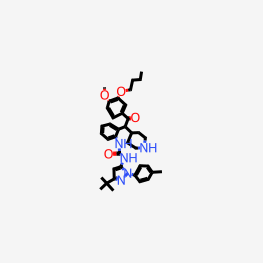 CCCCOc1cc(C(=O)C(c2ccccc2NC(=O)Nc2cc(C(C)(C)C)nn2-c2ccc(C)cc2)C2CCNCC2)ccc1OC